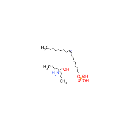 CCCCC(N)(CO)CCCC.CCCCCCCC/C=C\CCCCCCCCOP(=O)(O)O